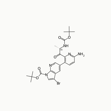 C[C@H](NC(=O)OC(C)(C)C)C(=O)c1nc(N)ccc1-c1cnc2c(c1)c(Br)cn2C(=O)OC(C)(C)C